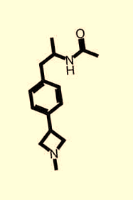 CC(=O)NC(C)Cc1ccc(C2CN(C)C2)cc1